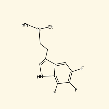 CCCN(CC)CCc1c[nH]c2c(F)c(F)c(F)cc12